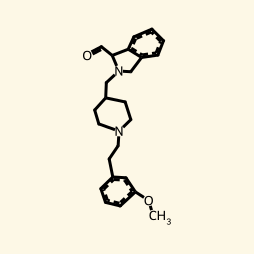 COc1cccc(CCN2CCC(CN3Cc4ccccc4C3C=O)CC2)c1